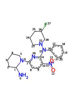 NC1CCCCN1c1ccc([N+](=O)[O-])c(N(c2ccccc2)N2CCCC(F)C2)n1